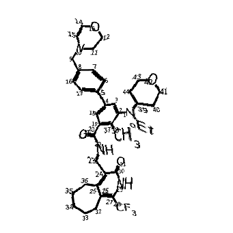 CCN(c1cc(-c2ccc(CN3CCOCC3)cc2)cc(C(=O)NCc2c3c(c(C(F)(F)F)[nH]c2=O)CCCCC3)c1C)C1CCOCC1